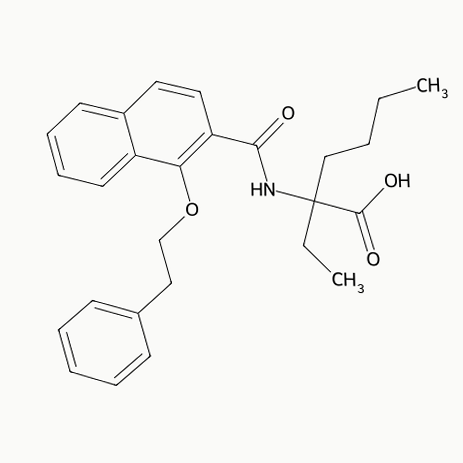 CCCCC(CC)(NC(=O)c1ccc2ccccc2c1OCCc1ccccc1)C(=O)O